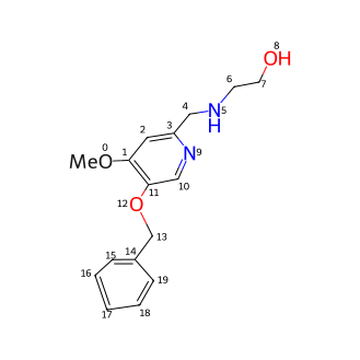 COc1cc(CNCCO)ncc1OCc1ccccc1